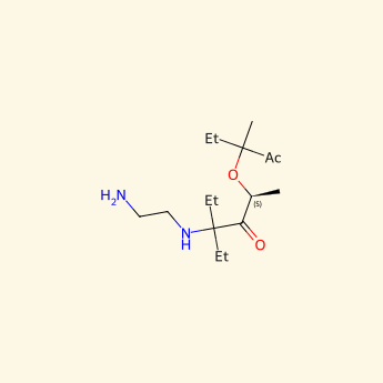 CCC(CC)(NCCN)C(=O)[C@H](C)OC(C)(CC)C(C)=O